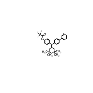 CC1(C)CC(=C(c2ccc(OC(=O)C(F)(F)F)cc2)c2ccc(-c3cccnc3)cc2)CC(C)(C)C1